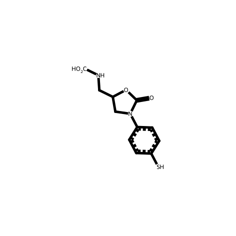 O=C(O)NCC1CN(c2ccc(S)cc2)C(=O)O1